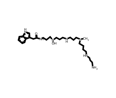 CN(CCCCNCCCN)CCCNCCCN(O)CCCNC(=O)Cc1c[nH]c2ccccc12